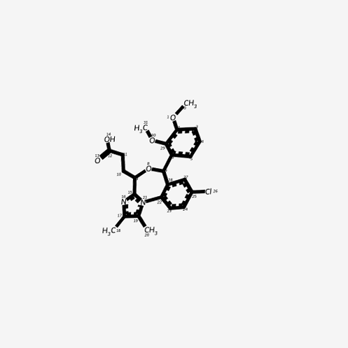 COc1cccc(C2OC(CCC(=O)O)c3nc(C)c(C)n3-c3ccc(Cl)cc32)c1OC